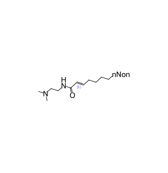 CCCCCCCCCCCCC/C=C/C(=O)NCCN(C)C